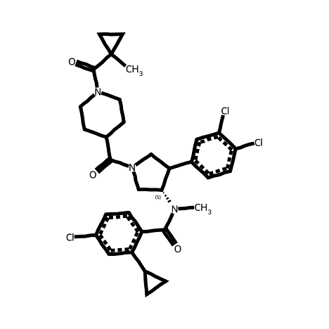 CN(C(=O)c1ccc(Cl)cc1C1CC1)[C@@H]1CN(C(=O)C2CCN(C(=O)C3(C)CC3)CC2)CC1c1ccc(Cl)c(Cl)c1